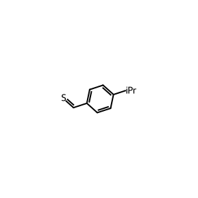 CC(C)c1ccc(C=S)cc1